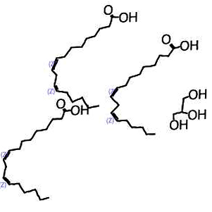 CCCCC/C=C\C/C=C\CCCCCCCC(=O)O.CCCCC/C=C\C/C=C\CCCCCCCC(=O)O.CCCCC/C=C\C/C=C\CCCCCCCC(=O)O.OCC(O)CO